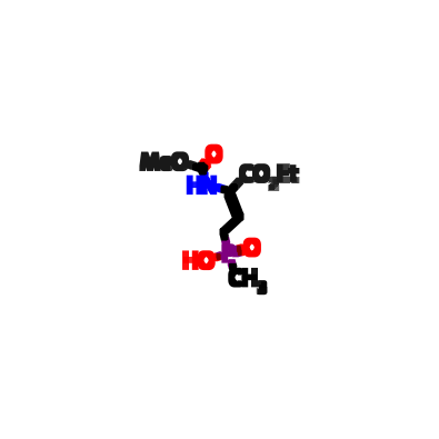 CCOC(=O)/C(=C/CP(C)(=O)O)NC(=O)OC